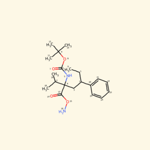 CCC(CC(NC(=O)OC(C)(C)C)(C(=O)ON)C(C)C)c1ccccc1